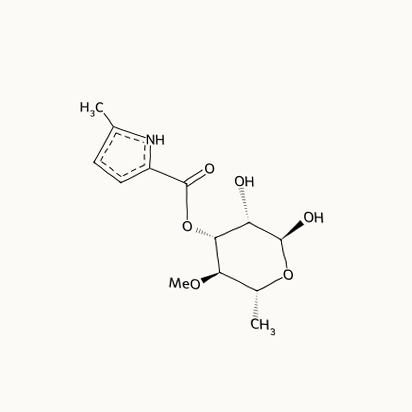 CO[C@H]1[C@H](OC(=O)c2ccc(C)[nH]2)[C@H](O)[C@@H](O)O[C@@H]1C